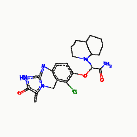 C=c1c(=O)[nH]c2n1Cc1c(ccc(OC(C(N)=O)N3CCCC4CCCCC43)c1Cl)N=2